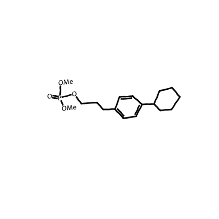 COP(=O)(OC)OCCCc1ccc(C2CCCCC2)cc1